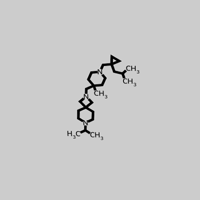 CC(C)CC1(CN2CCC(C)(CN3CC4(CCN(C(C)C)CC4)C3)CC2)CC1